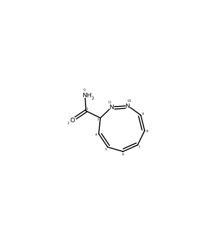 NC(=O)C1C=CC=CC=CN=N1